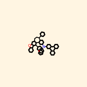 c1ccc(C2CCc3cc4oc5ccccc5c4c(-c4ccc5ccccc5c4)c3-c3cc(N(c4ccccc4)c4ccc5c6ccccc6c6ccccc6c5c4)ccc32)cc1